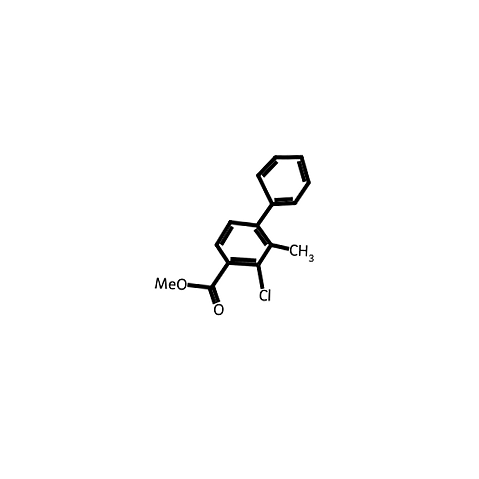 COC(=O)c1ccc(-c2ccccc2)c(C)c1Cl